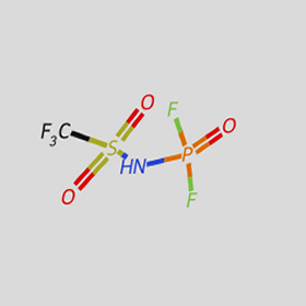 O=P(F)(F)NS(=O)(=O)C(F)(F)F